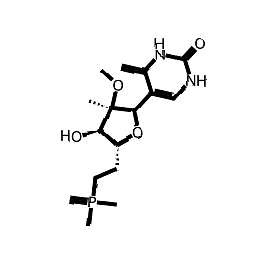 C=C1NC(=O)NC=C1C1O[C@H](CCP(=C)(C)C)[C@@H](O)[C@@]1(C)OC